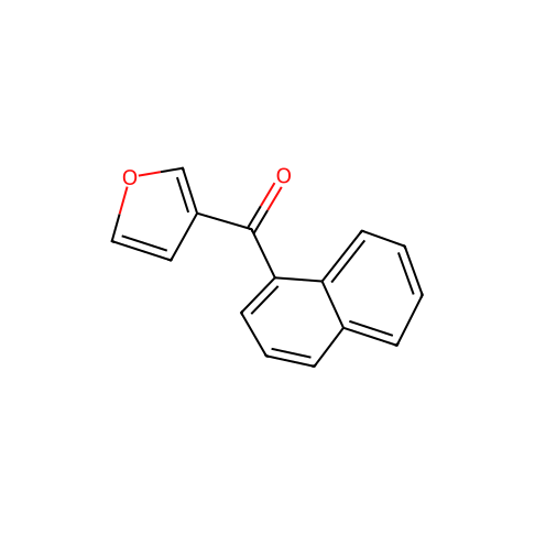 O=C(c1ccoc1)c1cccc2ccccc12